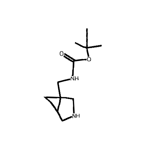 CC(C)(C)OC(=O)NCC12CNCC1C2